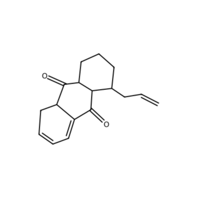 C=CCC1CCCC2C(=O)C3CC=CC=C3C(=O)C12